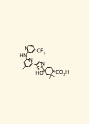 Cc1cc(Nc2cc(C(F)(F)F)ccn2)nc(-c2cnc([C@@]3(O)CC[C@H](C(=O)O)C(C)(C)C3)s2)c1